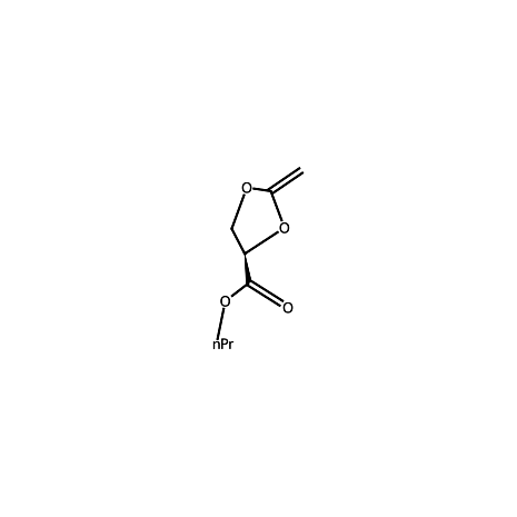 C=C1OC[C@H](C(=O)OCCC)O1